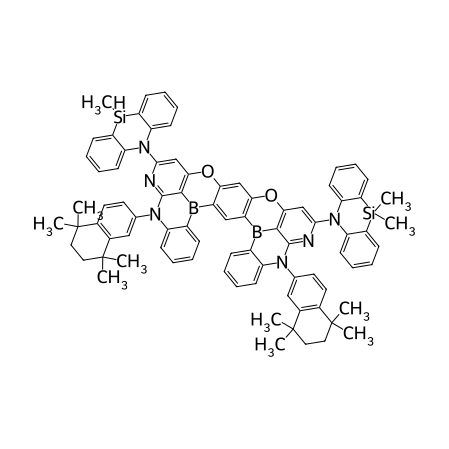 C[SiH]1c2ccccc2N(c2cc3c4c(n2)N(c2ccc5c(c2)C(C)(C)CCC5(C)C)c2ccccc2B4c2cc4c(cc2O3)Oc2cc(N3c5ccccc5[Si](C)(C)c5ccccc53)nc3c2B4c2ccccc2N3c2ccc3c(c2)C(C)(C)CCC3(C)C)c2ccccc21